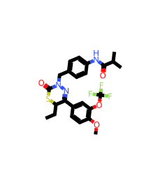 CCC1SC(=O)N(Cc2ccc(NC(=O)C(C)C)cc2)N=C1c1ccc(OC)c(OC(F)(F)F)c1